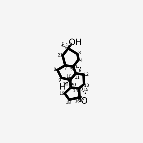 C[C@]1(O)CC[C@]2(C)C(CC[C@H]3C2CC[C@@]2(C)C(=O)CCC32)C1